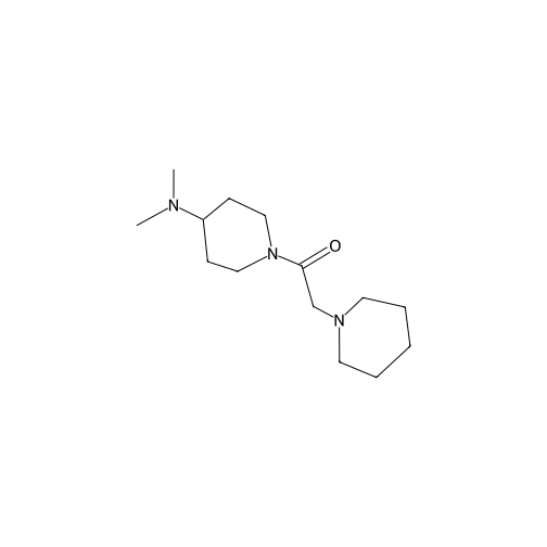 CN(C)C1CCN(C(=O)CN2CCCCC2)CC1